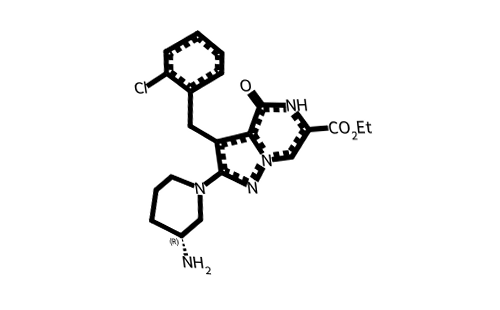 CCOC(=O)c1cn2nc(N3CCC[C@@H](N)C3)c(Cc3ccccc3Cl)c2c(=O)[nH]1